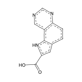 O=C(O)c1cc2ccc3ncncc3c2[nH]1